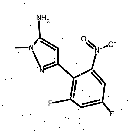 Cn1nc(-c2c(F)cc(F)cc2[N+](=O)[O-])cc1N